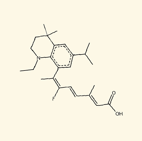 CCN1CCC(C)(C)c2cc(C(C)C)cc(\C(C)=C(F)/C=C/C(C)=C/C(=O)O)c21